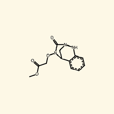 COC(=O)CON1C(=O)N2CC1c1ccccc1N2